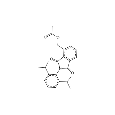 CC(=O)OCc1cccc2c1C(=O)N(c1c(C(C)C)cccc1C(C)C)C2=O